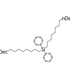 CCCCCCCCCCCCCCCCCC[Si](CCCCCCCCCCCCCCCCCC)(c1ccccc1)c1ccccc1